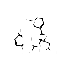 CC(C)Cc1nc(C2=CCCN(C)C2)oc1OC(C)C.O=C(O)/C=C\C(=O)O